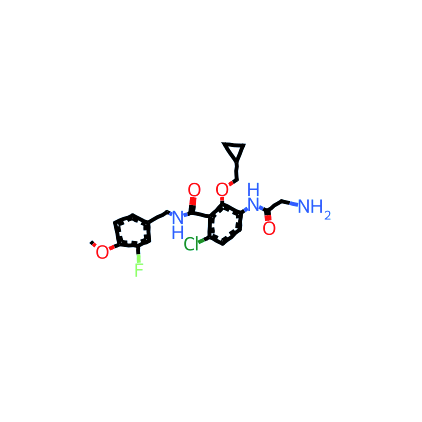 COc1ccc(CNC(=O)c2c(Cl)ccc(NC(=O)CN)c2OCC2CC2)cc1F